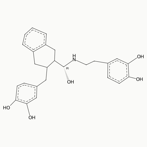 Oc1ccc(CCN[C@H](O)C2Cc3ccccc3CC2Cc2ccc(O)c(O)c2)cc1O